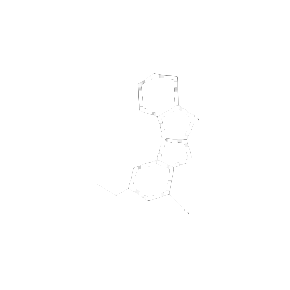 O=Nc1cc(CF)cc2c1sc1nc3ccccc3n12